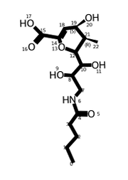 CCCCC(=O)NCC(O)C(O)C1OC(C(=O)O)=C[C@@H](O)[C@H]1C